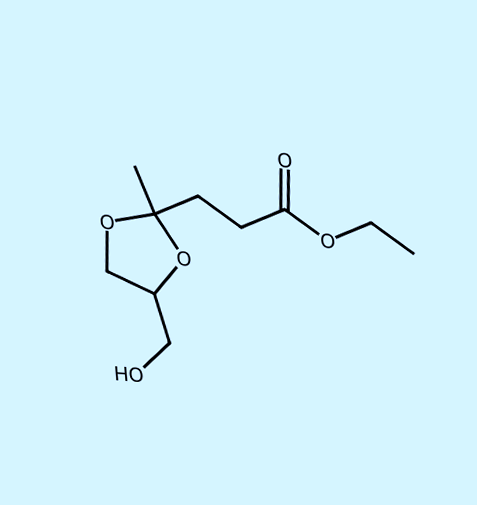 CCOC(=O)CCC1(C)OCC(CO)O1